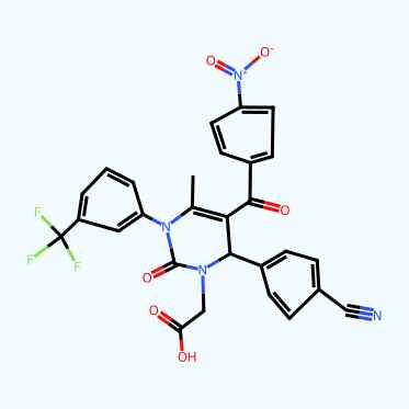 CC1=C(C(=O)c2ccc([N+](=O)[O-])cc2)C(c2ccc(C#N)cc2)N(CC(=O)O)C(=O)N1c1cccc(C(F)(F)F)c1